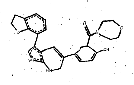 O=C(C1CC(C2=Cc3c(-c4cccc5c4OCC5)c[nH]c3NC2)=CC=C1O)N1CCOCC1